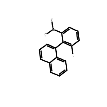 FB(F)c1cccc(I)c1-c1cccc2ccccc12